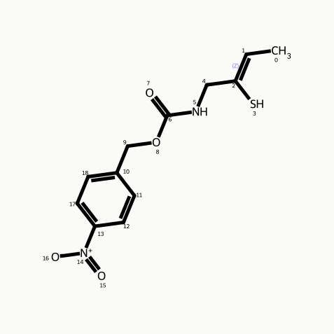 C/C=C(\S)CNC(=O)OCc1ccc([N+](=O)[O-])cc1